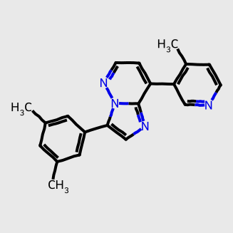 Cc1cc(C)cc(-c2cnc3c(-c4cnccc4C)ccnn23)c1